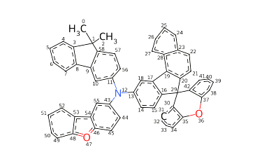 CC1(C)c2ccccc2-c2cc(N(c3ccc4c(c3)-c3c(ccc5ccccc35)C43c4ccccc4Oc4ccccc43)c3ccc4oc5ccccc5c4c3)ccc21